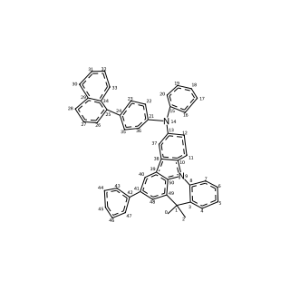 CC1(C)c2ccccc2-n2c3ccc(N(c4ccccc4)c4ccc(-c5cccc6ccccc56)cc4)cc3c3cc(-c4ccccc4)cc1c32